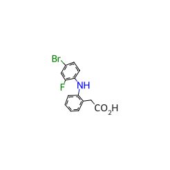 O=C(O)Cc1ccccc1Nc1ccc(Br)cc1F